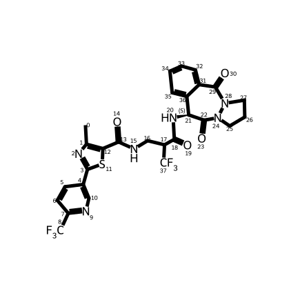 Cc1nc(-c2ccc(C(F)(F)F)nc2)sc1C(=O)NCC(C(=O)N[C@@H]1C(=O)N2CCCN2C(=O)c2ccccc21)C(F)(F)F